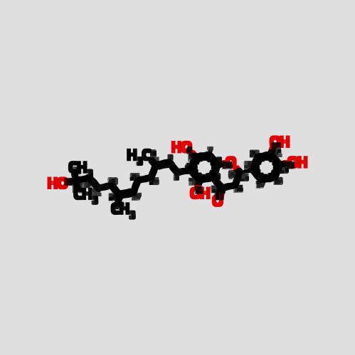 CC(=CCc1c(O)cc2c(c1O)C(=O)C[C@@H](c1ccc(O)c(O)c1)O2)CCC=C(C)CCCC(C)(C)O